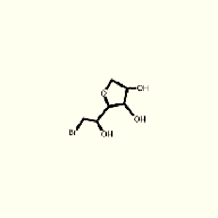 OC1COC(C(O)CBr)C1O